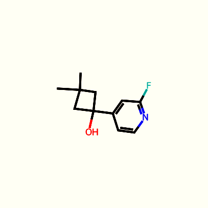 CC1(C)CC(O)(c2ccnc(F)c2)C1